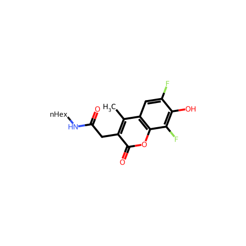 CCCCCCNC(=O)Cc1c(C)c2cc(F)c(O)c(F)c2oc1=O